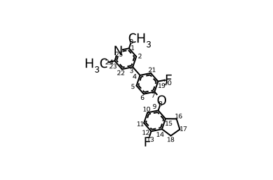 Cc1cc(-c2ccc(Oc3ccc(F)c4c3CCC4)c(F)c2)cc(C)n1